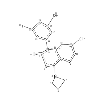 O=c1nc(N2CCC2)c2ccc(Cl)cc2n1-c1cc(O)cc(F)c1